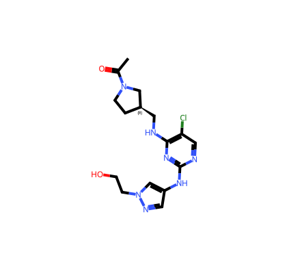 CC(=O)N1CC[C@H](CNc2nc(Nc3cnn(CCO)c3)ncc2Cl)C1